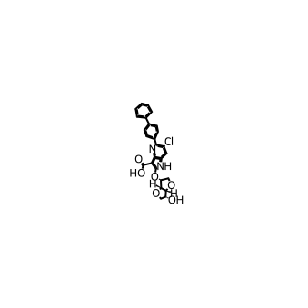 O=C(O)c1c(O[C@@H]2CO[C@H]3[C@@H]2OC[C@H]3O)[nH]c2cc(Cl)c(-c3ccc(-c4ccccc4)cc3)nc12